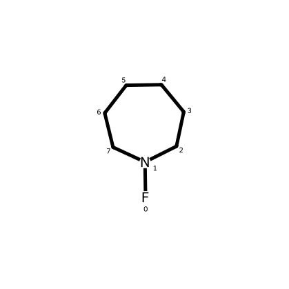 FN1CCCCCC1